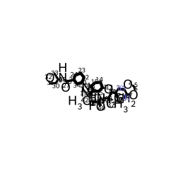 C=C(/C=C1/OCCO/C1=C/C)[C@@H](Oc1ccc2c(cnn2-c2cccc(C(=O)NC3CCOC3)c2)c1)[C@H](C)NC(=O)C(C)(F)F